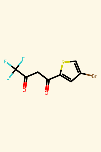 O=C(CC(=O)C(F)(F)F)c1cc(Br)cs1